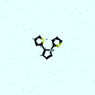 C1=C[SiH](c2cccs2)C(c2cccs2)=C1